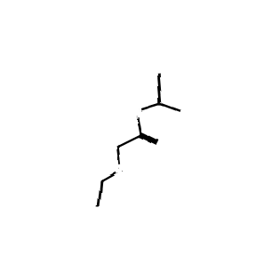 CC[N]CC(=O)OC(C)C